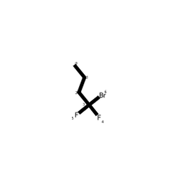 C[CH]CC(F)(F)Br